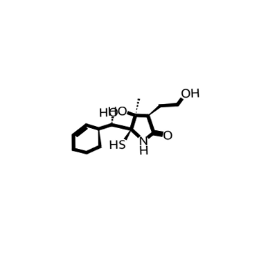 C[C@]1(O)[C@@H](CCO)C(=O)N[C@]1(S)[C@@H](O)[C@@H]1C=CCCC1